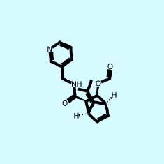 CC(C)=C1[C@H]2C=C[C@@H]1[C@H](OC=O)[C@@H]2C(=O)NCc1cccnc1